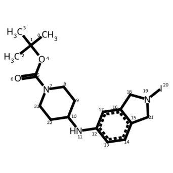 CC(C)(C)OC(=O)N1CCC(Nc2ccc3c(c2)CN(I)C3)CC1